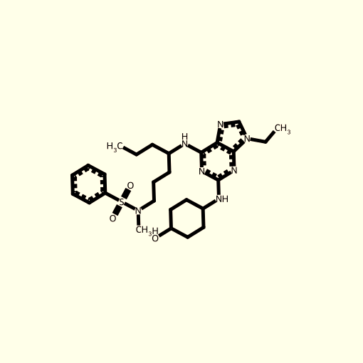 CCCC(CCCN(C)S(=O)(=O)c1ccccc1)Nc1nc(NC2CCC(O)CC2)nc2c1ncn2CC